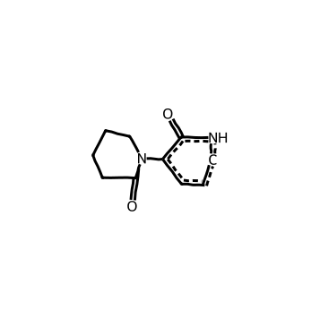 O=C1CCCCN1c1ccc[nH]c1=O